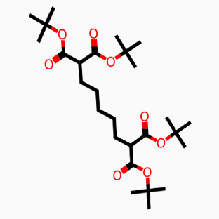 CC(C)(C)OC(=O)C(CCCCCC(C(=O)OC(C)(C)C)C(=O)OC(C)(C)C)C(=O)OC(C)(C)C